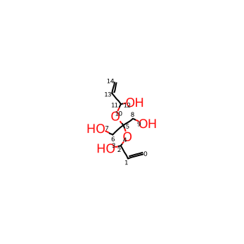 C=CC(O)OC(CO)(CO)OC(O)C=C